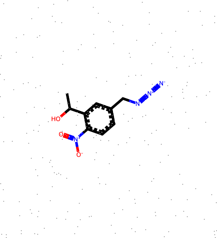 CC(O)c1cc(CN=[N+]=[N-])ccc1[N+](=O)[O-]